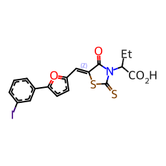 CCC(C(=O)O)N1C(=O)/C(=C/c2ccc(-c3cccc(I)c3)o2)SC1=S